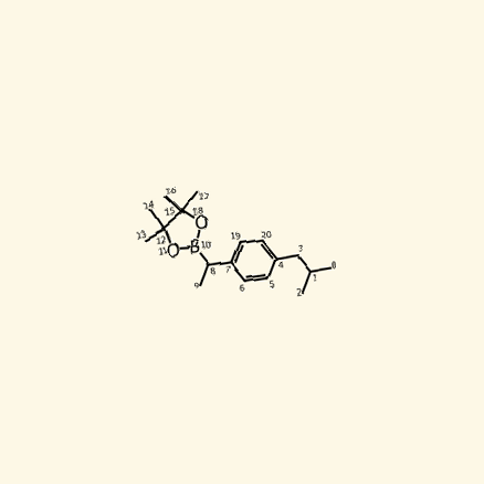 CC(C)Cc1ccc(C(C)B2OC(C)(C)C(C)(C)O2)cc1